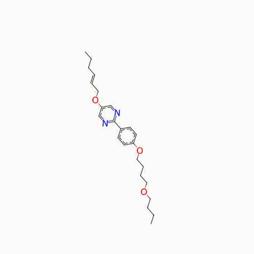 CCCC=CCOc1cnc(-c2ccc(OCCCCOCCCC)cc2)nc1